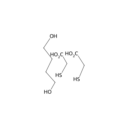 O=C(O)CS.O=C(O)CS.OCCCCO